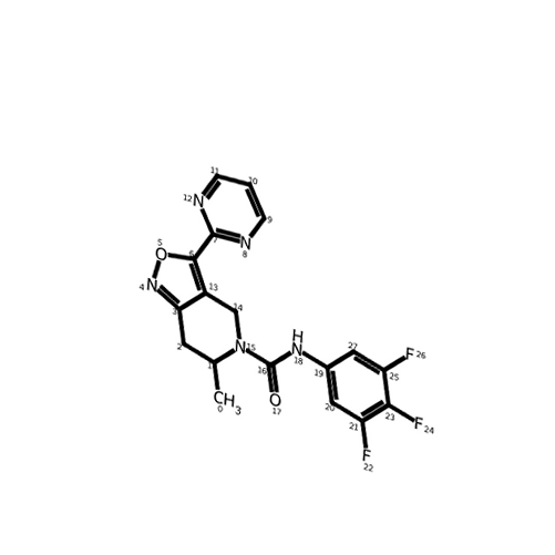 CC1Cc2noc(-c3ncccn3)c2CN1C(=O)Nc1cc(F)c(F)c(F)c1